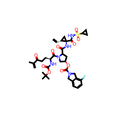 C=C[C@@H]1C[C@]1(NC(=O)C1C[C@@H](OC(=O)N2Cc3cccc(F)c3C2)CN1C(=O)[C@H](CCC(=O)C(=C)C)NC(=O)OC(C)(C)C)C(=O)NS(=O)(=O)C1CC1